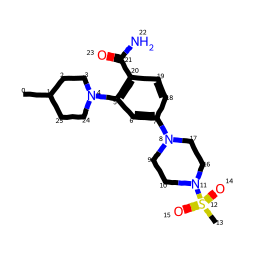 CC1CCN(c2cc(N3CCN(S(C)(=O)=O)CC3)ccc2C(N)=O)CC1